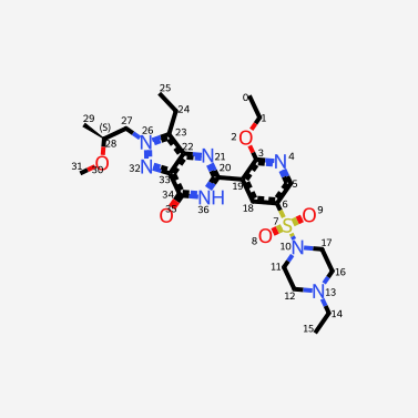 CCOc1ncc(S(=O)(=O)N2CCN(CC)CC2)cc1-c1nc2c(CC)n(C[C@H](C)OC)nc2c(=O)[nH]1